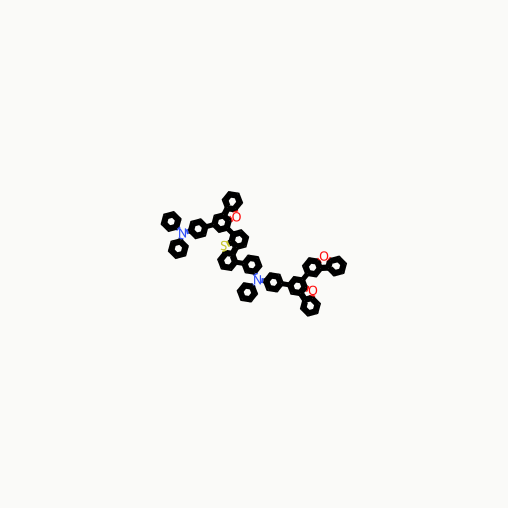 c1ccc(N(c2ccccc2)c2ccc(-c3cc(-c4cccc5c4sc4cccc(-c6cccc(N(c7ccccc7)c7ccc(-c8cc(-c9ccc%10oc%11ccccc%11c%10c9)c9oc%10ccccc%10c9c8)cc7)c6)c45)c4oc5ccccc5c4c3)cc2)cc1